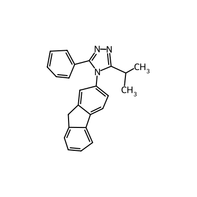 CC(C)c1nnc(-c2ccccc2)n1-c1ccc2c(c1)Cc1ccccc1-2